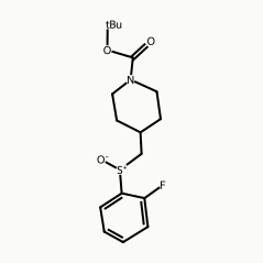 CC(C)(C)OC(=O)N1CCC(C[S+]([O-])c2ccccc2F)CC1